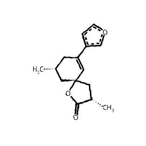 C[C@@H]1CC(c2ccoc2)=C[C@]2(C1)C[C@H](C)C(=O)O2